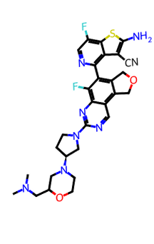 CN(C)CC1CN([C@H]2CCN(c3ncc4c5c(c(-c6ncc(F)c7sc(N)c(C#N)c67)c(F)c4n3)COC5)C2)CCO1